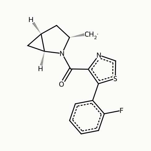 [CH2][C@H]1C[C@@H]2C[C@@H]2N1C(=O)c1ncsc1-c1ccccc1F